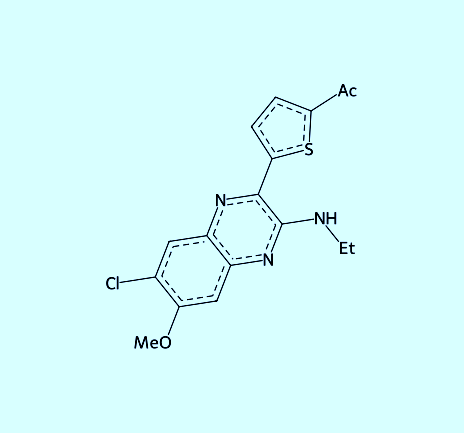 CCNc1nc2cc(OC)c(Cl)cc2nc1-c1ccc(C(C)=O)s1